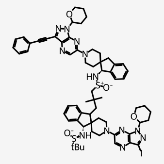 CC(C)(CC1c2ccccc2[C@@H](N[S@+]([O-])C(C)(C)C)C12CCN(c1cnc3c(I)nn(C4CCCCO4)c3n1)CC2)C[S+]([O-])N[C@@H]1c2ccccc2CC12CCN(c1cnc3c(C#Cc4ccccc4)nn(C4CCCCO4)c3n1)CC2